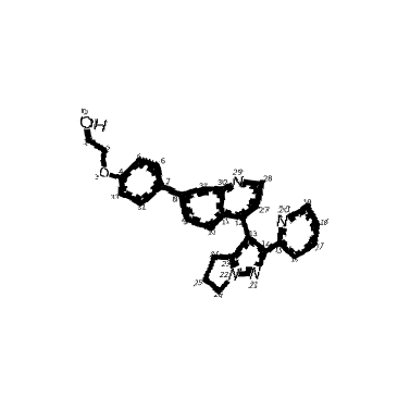 OCCOc1ccc(-c2ccc3c(-c4c(-c5ccccn5)nn5c4CCC5)ccnc3c2)cc1